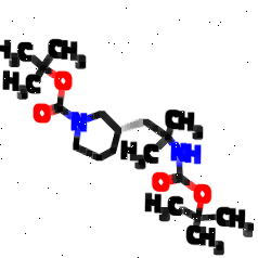 CC(C)(C[C@@H]1CCCN(C(=O)OC(C)(C)C)C1)NC(=O)OC(C)(C)C